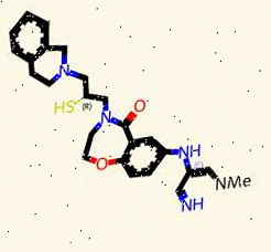 CN/C=C(\C=N)Nc1ccc2c(c1)C(=O)N(C[C@H](S)CN1CCc3ccccc3C1)CCO2